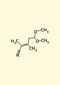 COC(C/C(C)=C(\C)C#N)OC